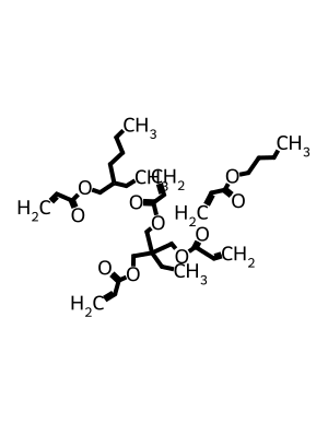 C=CC(=O)OCC(CC)(COC(=O)C=C)COC(=O)C=C.C=CC(=O)OCC(CC)CCCC.C=CC(=O)OCCCC